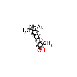 CC(=O)NC(C)c1ccc2cc(Oc3ccc(O)cc3C)ccc2c1